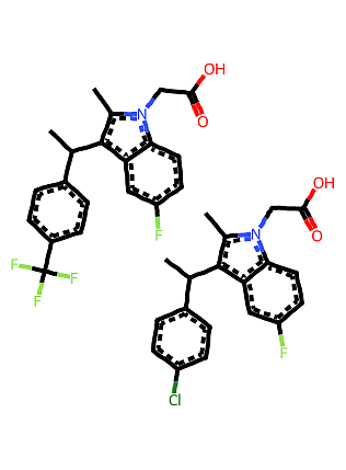 Cc1c(C(C)c2ccc(C(F)(F)F)cc2)c2cc(F)ccc2n1CC(=O)O.Cc1c(C(C)c2ccc(Cl)cc2)c2cc(F)ccc2n1CC(=O)O